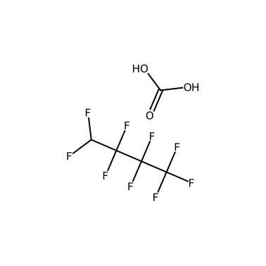 FC(F)C(F)(F)C(F)(F)C(F)(F)F.O=C(O)O